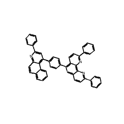 c1ccc(-c2cc(-c3ccc(-c4cc5ccc(-c6ccccc6)nc5c5nc(-c6ccccc6)ccc45)cc3)c3c(ccc4ccccc43)n2)cc1